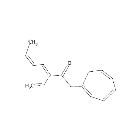 C=C/C(=C\C=C/C)C(=O)CC1=CC=CC=CC1